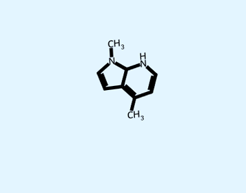 CC1=C2C=CN(C)C2NC=C1